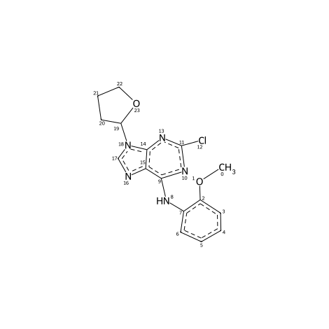 COc1ccccc1Nc1nc(Cl)nc2c1ncn2C1CCCO1